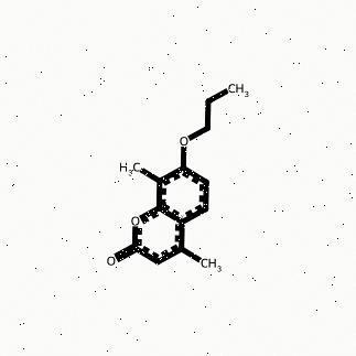 CCCOc1ccc2c(C)cc(=O)oc2c1C